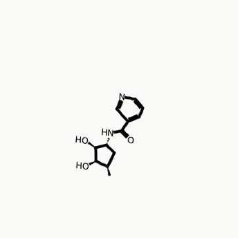 C[C@@H]1C[C@@H](NC(=O)c2cccnc2)[C@H](O)[C@@H]1O